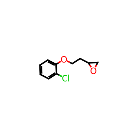 Clc1ccccc1OCCC1CO1